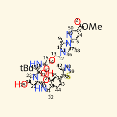 COC(=O)c1ccc(N2[C@H](C)CN(CCOCC(=O)N[C@H](C(O)N3C[C@H](O)CC3C(=O)N[C@@H](C)c3ccc(-c4scnc4C)cc3)C(C)(C)C)C[C@@H]2C)nc1